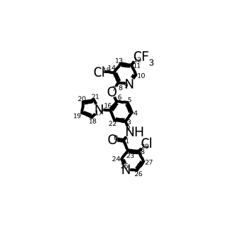 O=C(Nc1ccc(Oc2ncc(C(F)(F)F)cc2Cl)c(-n2cccc2)c1)c1cnccc1Cl